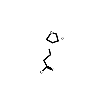 C1CCOC1.CCCC(=O)[O-].[K+]